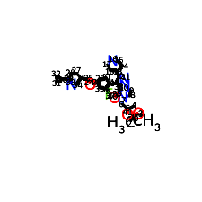 CC1(C)OCC(CN2CCn3nc(-c4ccncc4)c(-c4ccc(OCc5ccc(C6CC6)nc5)cc4F)c3C2=O)O1